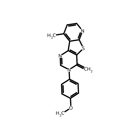 C=C1c2sc3nccc(C)c3c2N=CN1c1ccc(OC)cc1